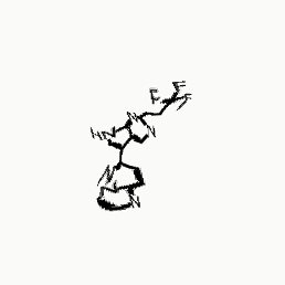 FC(F)(F)CCc1ncc2c(-c3ccc4nccn4n3)c[nH]c2n1